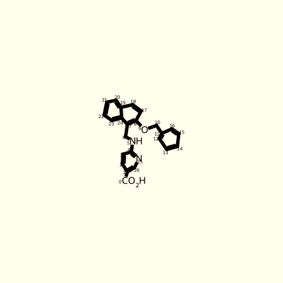 O=C(O)c1ccc(NCc2c(OCc3ccccc3)ccc3ccccc23)nc1